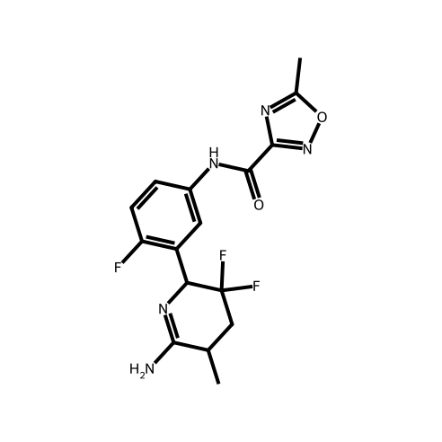 Cc1nc(C(=O)Nc2ccc(F)c(C3N=C(N)C(C)CC3(F)F)c2)no1